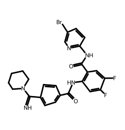 N=C(c1ccc(C(=O)Nc2cc(F)c(F)cc2C(=O)Nc2ccc(Br)cn2)cc1)N1CCCCC1